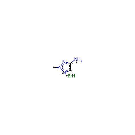 Br.Cn1ncc(N)n1